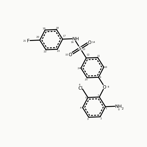 Nc1cccc(Cl)c1Oc1ccc(S(=O)(=O)Nc2ccc(F)cc2)cc1